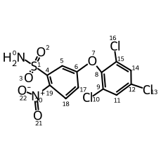 NS(=O)(=O)c1cc(Oc2c(Cl)cc(Cl)cc2Cl)ccc1[N+](=O)[O-]